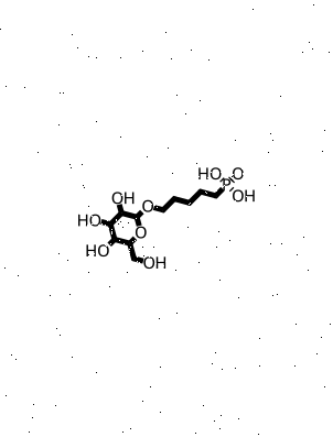 O=P(O)(O)CCCCCOC1OC(CO)C(O)C(O)C1O